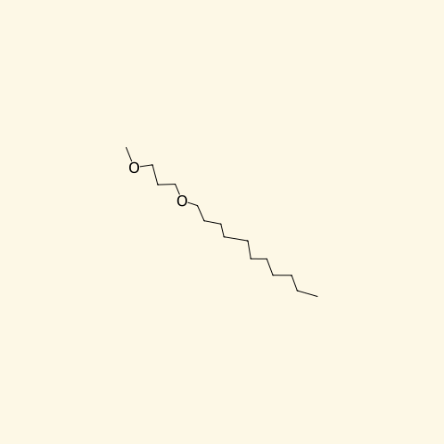 CCCCCCCCCCCOCCCOC